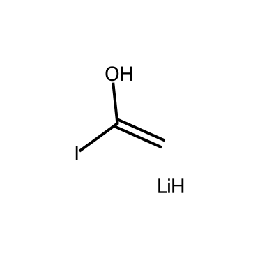 C=C(O)I.[LiH]